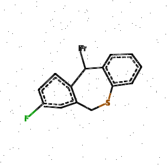 CC(C)C1c2ccc(F)cc2CSc2ccccc21